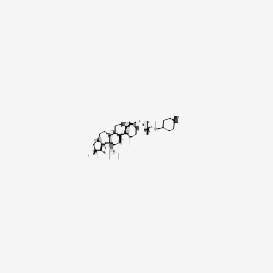 CC(C)C1=C2[C@H]3CC[C@@H]4[C@@]5(C)CCC(NC(=O)NCC6CCC(F)(F)CC6)C(C)(C)[C@@H]5CC[C@@]4(C)[C@]3(C)CC[C@@]2(C)CC1=O